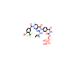 C=C[C@H](C)Nc1nc2c(c(=O)n1-c1ccc(C(=O)N(C)C(=O)OCOP(=O)(O)O)cc1)C[C@@H](C)N(C(=O)c1ccc(Br)c(C(F)(F)F)c1)C2